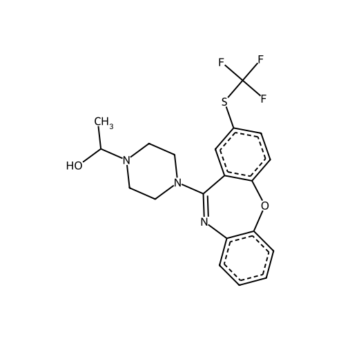 CC(O)N1CCN(C2=Nc3ccccc3Oc3ccc(SC(F)(F)F)cc32)CC1